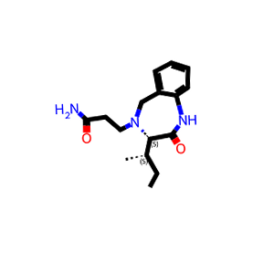 CC[C@H](C)[C@H]1C(=O)Nc2ccccc2CN1CCC(N)=O